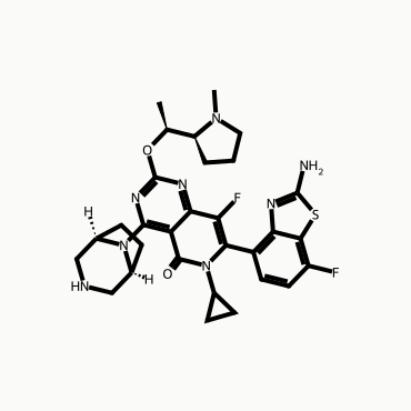 C[C@H](Oc1nc(N2[C@@H]3CC[C@H]2CNC3)c2c(=O)n(C3CC3)c(-c3ccc(F)c4sc(N)nc34)c(F)c2n1)[C@@H]1CCCN1C